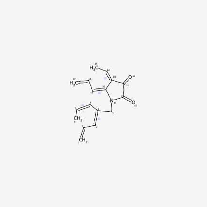 C=C/C=C(\C=C/C)CN1C(=O)C(=O)C(=C/C)/C1=C\C=C